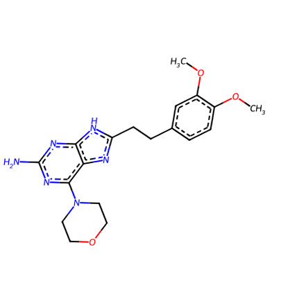 COc1ccc(CCc2nc3c(N4CCOCC4)nc(N)nc3[nH]2)cc1OC